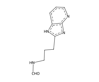 O=CNCCCc1nc2ncccc2[nH]1